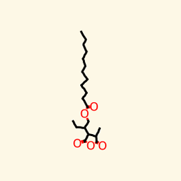 CCCCCCCCCCCC(=O)OCC(CC)C1C(=O)OC(=O)C1C